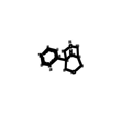 [c]1nccc(C23COCC(COC2)N3)n1